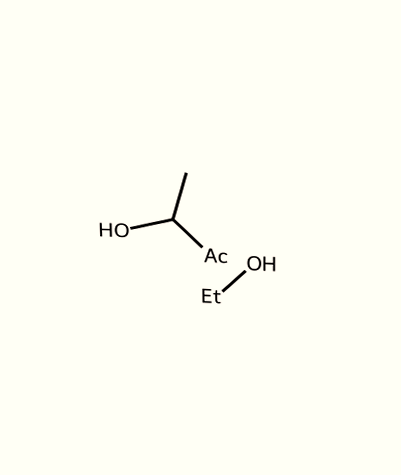 CC(=O)C(C)O.CCO